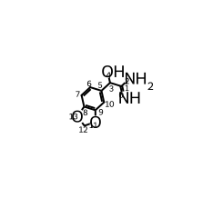 N=C(N)C(O)c1ccc2c(c1)OCO2